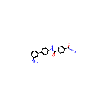 NC(=O)c1ccc(C(=O)Nc2ccc(-c3cccc(N)c3)cc2)cc1